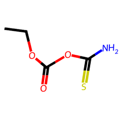 CCOC(=O)OC(N)=S